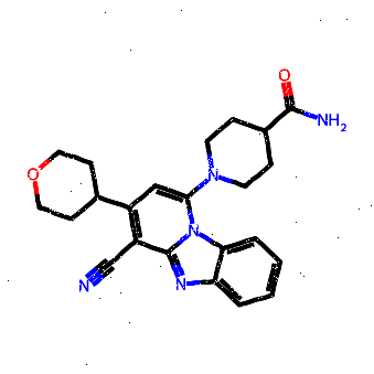 N#Cc1c(C2CCOCC2)cc(N2CCC(C(N)=O)CC2)n2c1nc1ccccc12